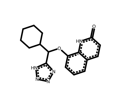 O=c1ccc2cccc(OC(c3nnn[nH]3)C3CCCCC3)c2[nH]1